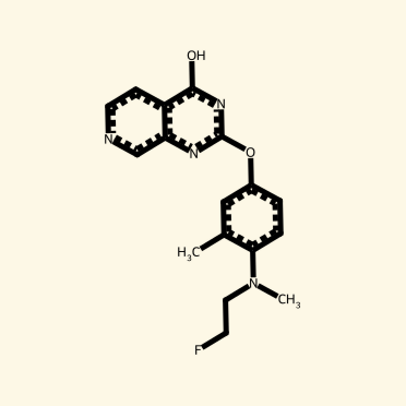 Cc1cc(Oc2nc(O)c3ccncc3n2)ccc1N(C)CCF